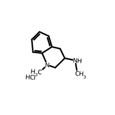 CNC1Cc2ccccc2N(C)C1.Cl